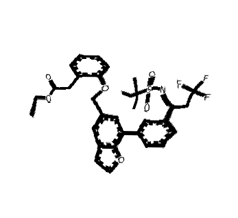 CCOC(=O)Cc1ccccc1OCc1cc(-c2cccc(C(CC(F)(F)F)=NS(=O)(=O)C(C)(C)C)c2)c2occc2c1